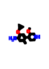 COC1CNCCC1c1cc(OC2CC2)c(N)cc1C